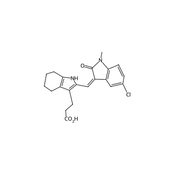 CN1C(=O)/C(=C\c2[nH]c3c(c2CCC(=O)O)CCCC3)c2cc(Cl)ccc21